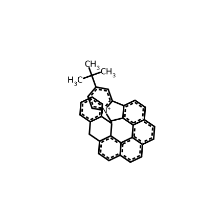 CC(C)(C)c1cc[n+]2c(c1)-c1ccc3ccc4ccc5ccc6c7c5c4c3c1C2C7c1ccccc1C6